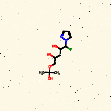 CC(C)(O)OCC(O)CC(O)C(F)n1cccn1